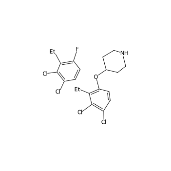 CCc1c(F)ccc(Cl)c1Cl.CCc1c(OC2CCNCC2)ccc(Cl)c1Cl